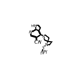 CCCSN1CCC12CCN(c1c(C#N)cnc3[nH]ccc13)C2